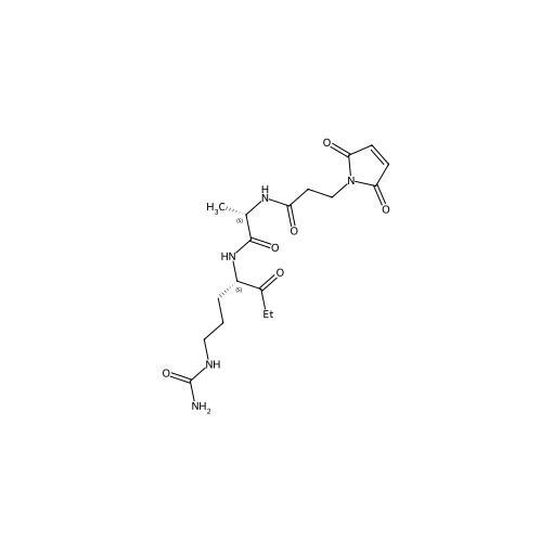 CCC(=O)[C@H](CCCNC(N)=O)NC(=O)[C@H](C)NC(=O)CCN1C(=O)C=CC1=O